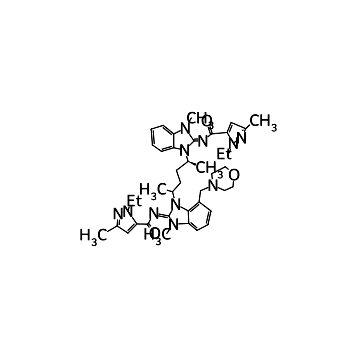 CCn1nc(C)cc1C(=O)/N=c1\n(C)c2cccc(CN3CCOCC3)c2n1C(C)CC[C@H](C)n1/c(=N/C(=O)c2cc(C)nn2CC)n(C)c2ccccc21